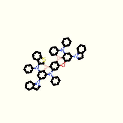 c1ccc(N2c3ccccc3B3c4cc5c(cc4Oc4cc(-n6ccc7ccccc76)cc2c43)N(c2ccccc2)c2cc(-n3ccc4ccccc43)cc3c2B5c2sc4ccccc4c2N3c2ccccc2)cc1